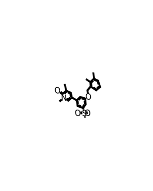 Cc1cccc(COc2cc(-c3cc(C)c(=O)n(C)c3)cc(S(C)(=O)=O)c2)c1C